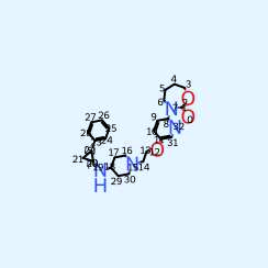 O=C1OCCCCN1c1ccc(OCCN2CCC(N[C@@H]3C[C@H]3c3ccccc3)CC2)cn1